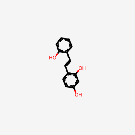 Oc1ccc(/C=C/c2ccccc2O)c(O)c1